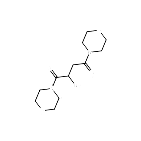 NC(CC(=O)N1CCOCC1)C(=O)N1CCOCC1